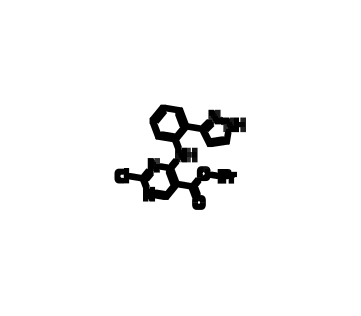 CC(C)OC(=O)c1cnc(Cl)nc1Nc1ccccc1-c1cc[nH]n1